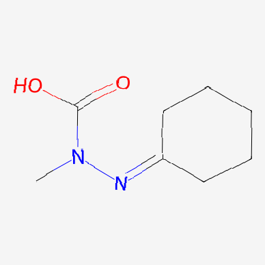 CN(N=C1CCCCC1)C(=O)O